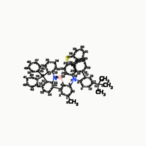 Cc1cc2c3c(c1)N(c1ccc(C(C)(C)C)cc1-c1ccccc1)c1cc4c(cc1B3N1c3ccccc3C(c3ccccc3)(c3ccccc3)c3cccc-2c31)sc1ccccc14